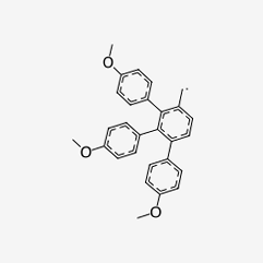 [CH2]c1ccc(-c2ccc(OC)cc2)c(-c2ccc(OC)cc2)c1-c1ccc(OC)cc1